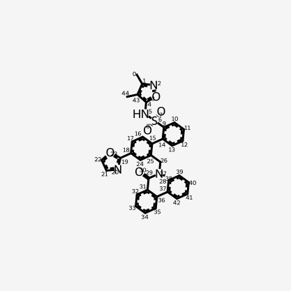 Cc1noc(NS(=O)(=O)c2ccccc2-c2ccc(-c3ncco3)cc2CN(C)C(=O)c2ccccc2-c2ccccc2)c1C